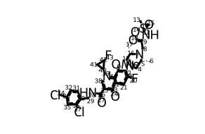 COc1c(N2C[C@@H](C)N(CC(=O)NS(C)(=O)=O)[C@@H](C)C2)c(F)cc2c(=O)c(C(=O)NCc3ccc(Cl)cc3Cl)cn([C@H]3C[C@H]3F)c12